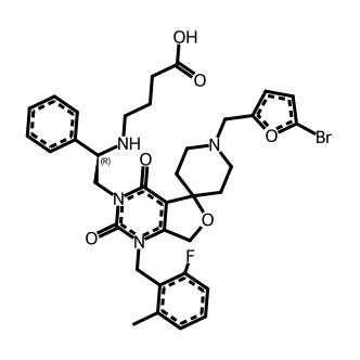 Cc1cccc(F)c1Cn1c2c(c(=O)n(C[C@H](NCCCC(=O)O)c3ccccc3)c1=O)C1(CCN(Cc3ccc(Br)o3)CC1)OC2